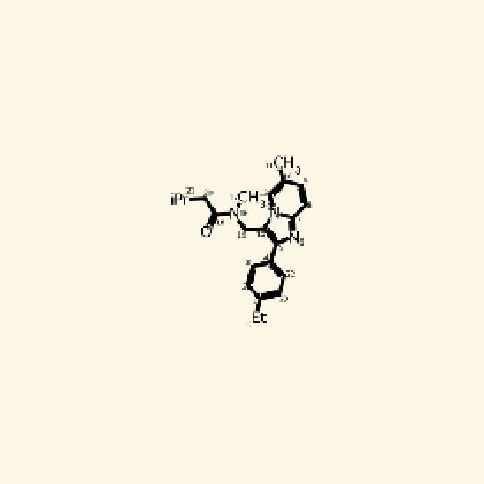 CCc1ccc(-c2nc3ccc(C)cn3c2CN(C)C(=O)CC(C)C)cc1